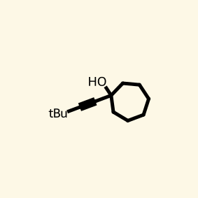 CC(C)(C)C#CC1(O)CCCCCC1